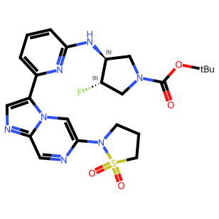 CC(C)(C)OC(=O)N1C[C@H](Nc2cccc(-c3cnc4cnc(N5CCCS5(=O)=O)cn34)n2)[C@@H](F)C1